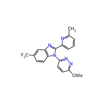 COc1ccc(-n2c(-c3cccc(C)n3)nc3cc(C(F)(F)F)ccc32)nn1